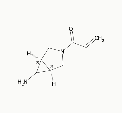 C=CC(=O)N1C[C@@H]2C(N)[C@@H]2C1